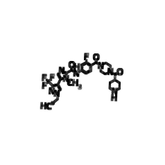 C#CCn1cc(-c2cnc(C(=O)Nc3ccc(C(=O)N4CCN(C(=O)C5CCNCC5)CC4)c(F)c3)n2C)c(C(F)(F)F)n1